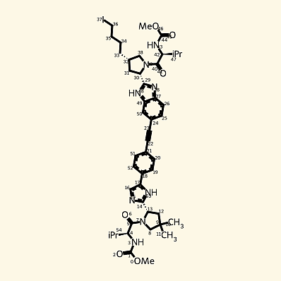 COC(=O)N[C@H](C(=O)N1CC(C)(C)C[C@H]1c1ncc(-c2ccc(C#Cc3ccc4nc([C@@H]5C[C@H](CCCCI)CN5C(=O)[C@@H](NC(=O)OC)C(C)C)[nH]c4c3)cc2)[nH]1)C(C)C